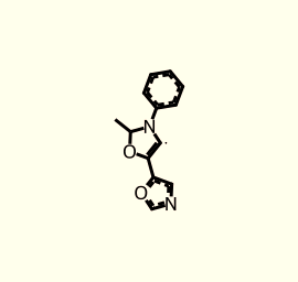 CC1OC(c2cnco2)=[C]N1c1ccccc1